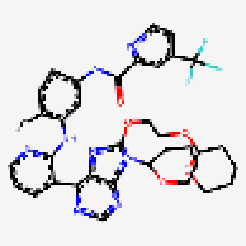 Cc1ccc(NC(=O)c2cc(C(F)(F)F)ccn2)cc1Nc1ncccc1-c1ncnc2c1nc(OCCOC1CCCCO1)n2C1CCCCO1